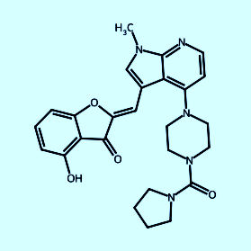 Cn1cc(C=C2Oc3cccc(O)c3C2=O)c2c(N3CCN(C(=O)N4CCCC4)CC3)ccnc21